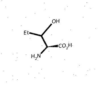 CCC(O)[C@H](N)C(=O)O